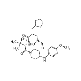 COc1ccc(NC2CCN(C(=O)[C@@H](NC(=O)[C@H](CC3CCCC3)CN(O)C=O)C(C)(C)C)CC2)cc1